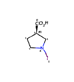 O=C(O)[C@@H]1CCN(I)C1